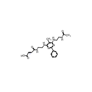 CC(=O)NCCNc1nc(-c2ccccc2)nc(NCCNC(=O)/C=C/C(=O)O)c1C